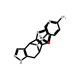 O=S(=O)(c1ccc(C(F)(F)F)nc1)N1C2Cc3[nH]ncc3C1c1nc(Br)ccc12